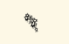 O=C(NS(=O)(=O)c1cccc2ccccc12)C1CCCc2c(OC3CCCC3)ccc(Br)c21